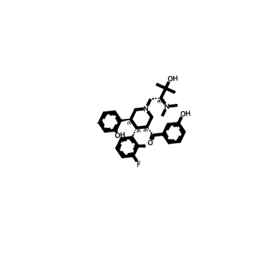 Cc1c(F)cccc1[C@H]1[C@@H](C(=O)c2cccc(O)c2)CN(C[C@@H](N(C)C)C(C)(C)O)C[C@@H]1c1cc[c]cc1O